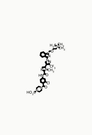 Cn1c(-c2cn(-c3nn(COCC[Si](C)(C)C)c4ccccc34)nc2C(F)(F)F)cnc1C(=O)Nc1ccc(C(=O)N2CCN(C(=O)O)CC2)c(Cl)c1